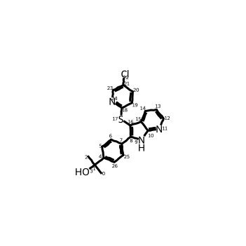 CC(C)(O)c1ccc(-c2[nH]c3ncccc3c2Sc2ccc(Cl)cn2)cc1